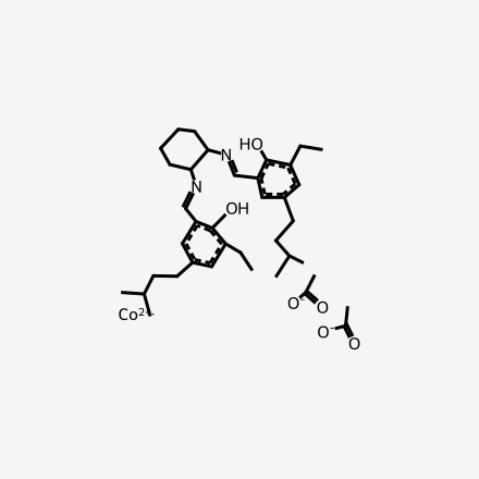 CC(=O)[O-].CC(=O)[O-].CCc1cc(CCC(C)C)cc(C=NC2CCCCC2N=Cc2cc(CCC(C)C)cc(CC)c2O)c1O.[Co+2]